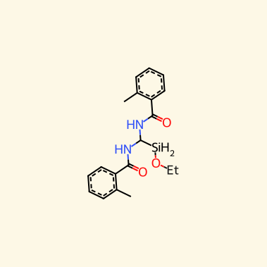 CCO[SiH2]C(NC(=O)c1ccccc1C)NC(=O)c1ccccc1C